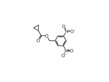 O=C(OCc1cc([N+](=O)[O-])cc([N+](=O)[O-])c1)C1CC1